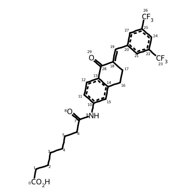 O=C(O)CCCCCCC(=O)Nc1ccc2c(c1)CC/C(=C\c1cc(C(F)(F)F)cc(C(F)(F)F)c1)C2=O